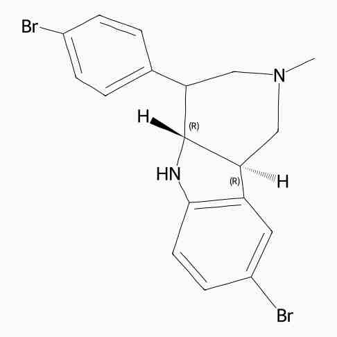 CN1CC(c2ccc(Br)cc2)[C@H]2Nc3ccc(Br)cc3[C@@H]2C1